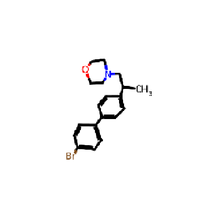 CC(CN1CCOCC1)c1ccc(-c2ccc(Br)cc2)cc1